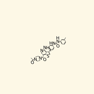 CC(=O)N1CCN(C(=O)c2cnc(N)c3c(-c4ccc(NC(=O)Nc5cccc(C)c5)cc4)csc23)CC1